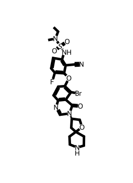 CCN(C)S(=O)(=O)Nc1ccc(F)c(Oc2ccc3ncn([C@H]4COC5(CCNCC5)C4)c(=O)c3c2Br)c1C#N